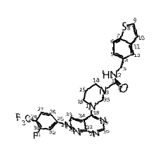 O=C(NCc1ccc2sccc2c1)N1CCCN(c2ncnc3nn(-c4ccc(C(F)(F)F)c(F)c4)cc23)C1